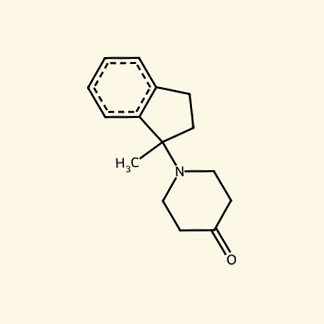 CC1(N2CCC(=O)CC2)CCc2ccccc21